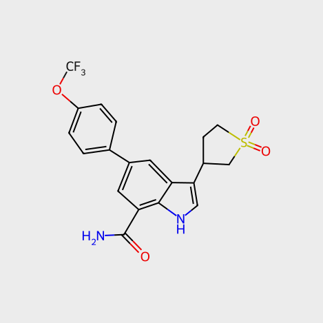 NC(=O)c1cc(-c2ccc(OC(F)(F)F)cc2)cc2c(C3CCS(=O)(=O)C3)c[nH]c12